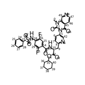 Cn1c(=O)n(-c2ccc(C[C@H](NC(=O)c3cc(F)c(NS(=O)(=O)c4ccccc4)cc3F)C(=O)OC3CCCCC3)nc2)c(=O)c2ccncc21